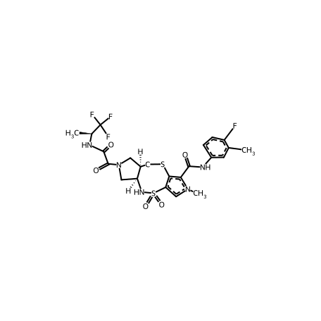 Cc1cc(NC(=O)c2c3c(cn2C)S(=O)(=O)N[C@H]2CN(C(=O)C(=O)N[C@@H](C)C(F)(F)F)C[C@H]2CS3)ccc1F